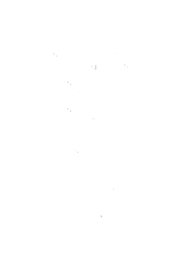 O=C(NCC(F)(F)F)C1C=CC2=C(N1)N(C(=O)Nc1cnc(OC[C@H](O)CO)cn1)[C@H]1CCN2C1